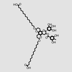 Cc1c(O)cc(C(=O)O[C@@H]2Cc3c4c(c5c(c3O[C@@H]2c2cc(O)c(O)c(O)c2)CCC(OCCCCCCCCCCCCCCC(=O)O)O5)CCC(OCCCCCCCCCCCCCCC(=O)O)O4)cc1O